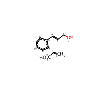 C=CC(=O)O.OCC=Cc1ccccc1